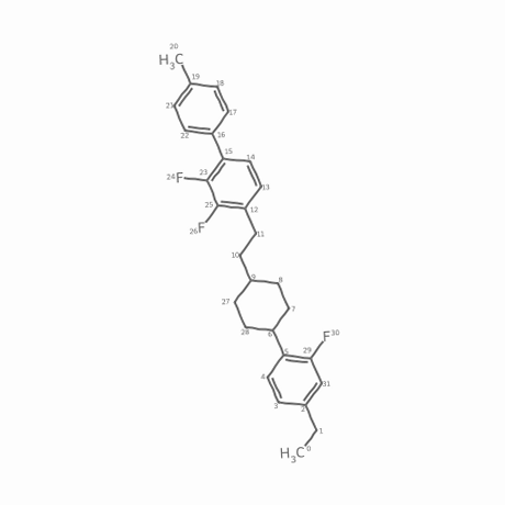 CCc1ccc(C2CCC(CCc3ccc(-c4ccc(C)cc4)c(F)c3F)CC2)c(F)c1